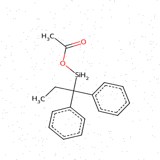 CCC([SiH2]OC(C)=O)(c1ccccc1)c1ccccc1